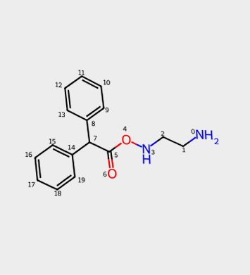 NCCNOC(=O)C(c1ccccc1)c1ccccc1